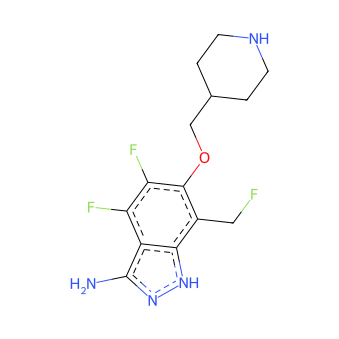 Nc1n[nH]c2c(CF)c(OCC3CCNCC3)c(F)c(F)c12